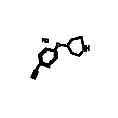 C#Cc1ccc(OC2CCNCC2)cn1.Cl